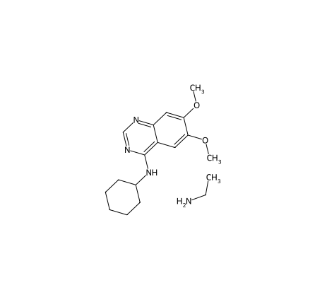 CCN.COc1cc2ncnc(NC3CCCCC3)c2cc1OC